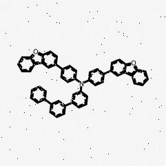 c1ccc(-c2cccc(-c3cccc(N(c4ccc(-c5ccc6oc7ccccc7c6c5)cc4)c4ccc(-c5ccc6oc7ccccc7c6c5)cc4)c3)c2)cc1